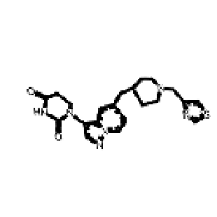 O=C1CCN(c2cnn3ccc(CC4CCN(Cc5cscn5)CC4)cc23)C(=O)N1